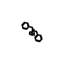 O=[PH](Cc1ccccc1)Cc1ccccc1